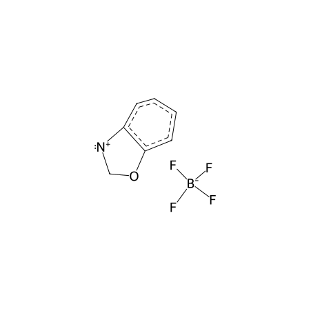 F[B-](F)(F)F.c1ccc2c(c1)[N+]CO2